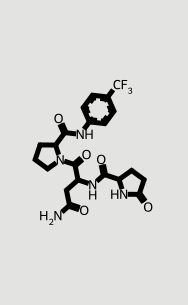 NC(=O)CC(NC(=O)C1CCC(=O)N1)C(=O)N1CCCC1C(=O)Nc1ccc(C(F)(F)F)cc1